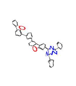 c1ccc(-c2nc(-c3ccccc3)nc(-c3ccc4c(c3)oc3ccc(-c5cccc(-c6cccc7c6oc6ccccc67)c5)cc34)n2)cc1